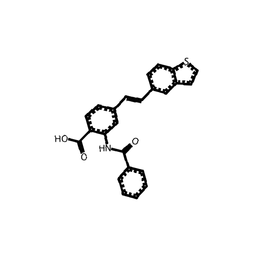 O=C(Nc1cc(/C=C/c2ccc3sccc3c2)ccc1C(=O)O)c1ccccc1